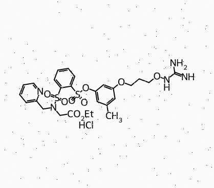 CCOC(=O)CN(Cc1ccccn1)S(=O)(=O)c1ccccc1S(=O)(=O)Oc1cc(C)cc(OCCCONC(=N)N)c1.Cl